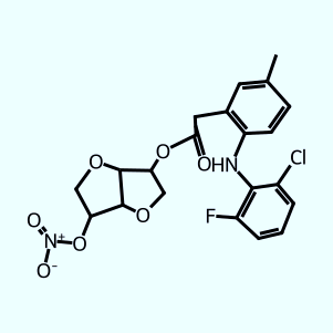 Cc1ccc(Nc2c(F)cccc2Cl)c(CC(=O)OC2COC3C(O[N+](=O)[O-])COC23)c1